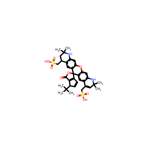 CC1(C)C=C(CS(=O)(=O)O)c2cc3c(cc2N1)Oc1cc2c(cc1C31OC(=O)C3=C1C=CC3C(C)(C)C)C(CS(=O)(=O)O)CC(C)(C)N2